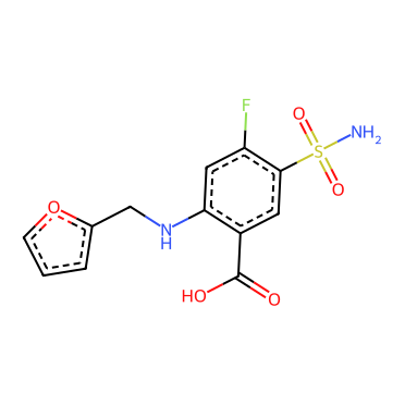 NS(=O)(=O)c1cc(C(=O)O)c(NCc2ccco2)cc1F